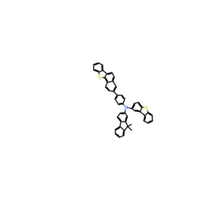 CC1(C)c2ccccc2-c2ccc(N(c3ccc(-c4ccc5c(ccc6c7ccccc7sc56)c4)cc3)c3ccc4sc5ccccc5c4c3)cc21